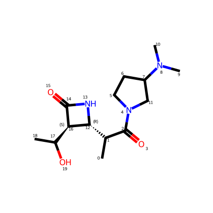 CC(C(=O)N1CCC(N(C)C)C1)[C@H]1NC(=O)[C@@H]1C(C)O